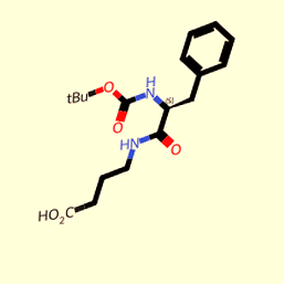 CC(C)(C)OC(=O)N[C@@H](Cc1ccccc1)C(=O)NCCCC(=O)O